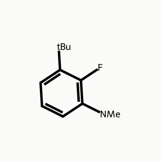 CNc1cccc(C(C)(C)C)c1F